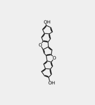 Oc1ccc2cc3c(cc2c1)oc1cc2c(cc13)oc1cc3cc(O)ccc3cc12